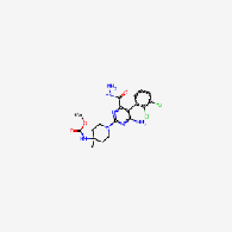 CC1(NC(=O)OC(C)(C)C)CCN(c2nc(N)c(-c3cccc(Cl)c3Cl)c(C(=O)NN)n2)CC1